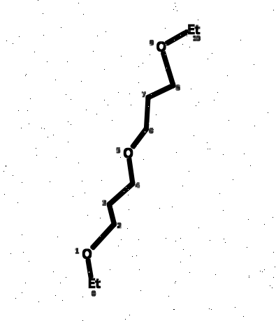 CCOCCCOCCCOCC